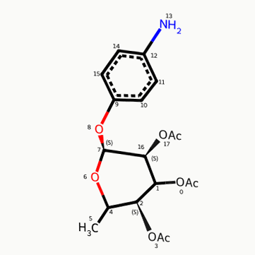 CC(=O)OC1[C@@H](OC(C)=O)C(C)O[C@@H](Oc2ccc(N)cc2)[C@H]1OC(C)=O